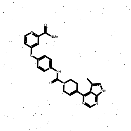 CNC(=O)c1cc(Oc2ccc(NC(=O)N3CC=C(c4ncnc5[nH]cc(C)c45)CC3)cc2)ccn1